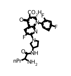 CCCC(N)C(=O)NC1CCN(c2nc3c(cc2F)c(=O)c(C(=O)O)cn3-c2ccc(F)cc2F)C1